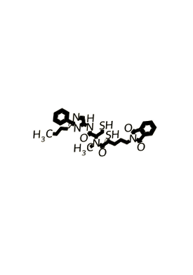 CCCC[C@]1(c2ccccc2)N=CC(NC(=O)C(CS)N(C)C(=O)[C@@H](S)CCCN2C(=O)c3ccccc3C2=O)=N1